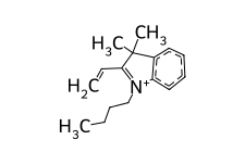 C=CC1=[N+](CCCC)c2ccccc2C1(C)C